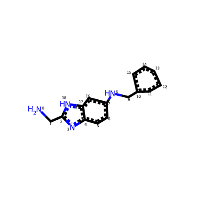 NCc1nc2ccc(NCc3ccccc3)cc2[nH]1